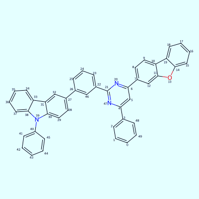 c1ccc(-c2cc(-c3ccc4c(c3)oc3ccccc34)nc(-c3cccc(-c4ccc5c(c4)c4ccccc4n5-c4ccccc4)c3)n2)cc1